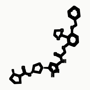 C[C@@H]1CCCN1C(=O)O[C@@H]1CC[C@H](c2cc(NC(=O)COc3cccc(OCc4ccccc4)c3C3OCCO3)n[nH]2)C1